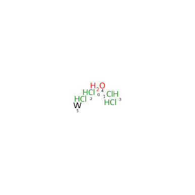 Cl.Cl.Cl.Cl.O.[W]